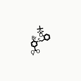 COC(=O)c1ccc(Br)c(SCc2ccccc2O[Si](C)(C)C(C)(C)C)c1